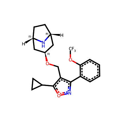 FC(F)(F)Oc1ccccc1-c1noc(C2CC2)c1CO[C@@H]1C[C@H]2CC[C@@H](C1)N2